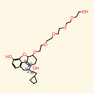 OCCOCCOCCOCCOCCOC1CC[C@@]2(O)[C@H]3Cc4ccc(O)c5c4[C@@]2(CCN3CC2CCC2)C1O5